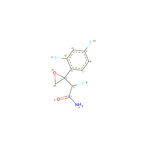 NC(=O)C(F)C1(c2ccc(F)cc2F)CO1